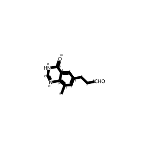 Cc1cc(CCC=O)cc2c(=O)[nH]cnc12